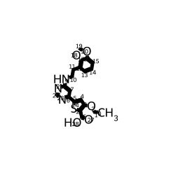 CCOc1cc(-c2cc(NCCc3cccc4c3OCO4)ncn2)sc1C(=O)O